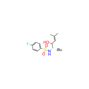 CC[C@H](C)[C@H](NS(=O)(=O)c1ccc(F)cc1)C(O)C=C(C)C